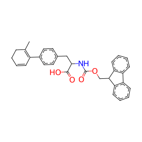 CC1=C(c2ccc(CC(NC(=O)OCC3c4ccccc4-c4ccccc43)C(=O)O)cc2)C=CCC1